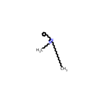 CCCCCCCCCCCCCCCCCCc1nc(CCCc2ccccc2)cn1CCCCCCC